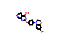 CC(C)c1ccc2c(c1)OCCN2c1ccc(Oc2nc(O)c3ccncc3n2)cc1